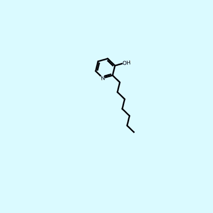 CCCCCCCc1ncccc1O